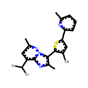 CCC(CC)c1cc(C)nn2c(-c3sc(-c4cccc(C)n4)cc3C#N)c(C)nc12